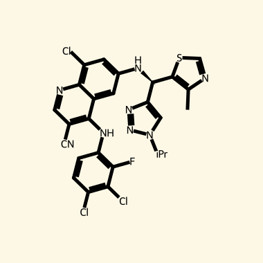 Cc1ncsc1[C@H](Nc1cc(Cl)c2ncc(C#N)c(Nc3ccc(Cl)c(Cl)c3F)c2c1)c1cn(C(C)C)nn1